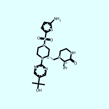 CC(C)[C@@H]1C(=O)NCCN1C[C@H]1CN(S(=O)(=O)c2ccc(N)s2)CCN1c1ncc(C(C)(C)O)cn1